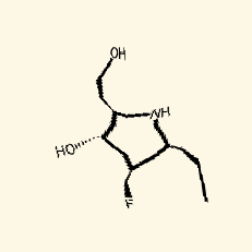 CC[C@@H]1N[C@H](CO)[C@@H](O)[C@@H]1F